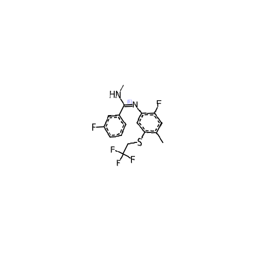 CN/C(=N/c1cc(SCC(F)(F)F)c(C)cc1F)c1cccc(F)c1